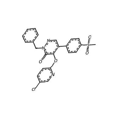 CS(=O)(=O)c1ccc(-c2cnn(Cc3ccccc3)c(=O)c2Oc2ccc(Cl)cn2)cc1